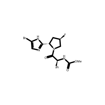 COC(=O)N[C@H](C(=O)N1C[C@H](F)C[C@H]1c1ncc(Br)[nH]1)C(C)C